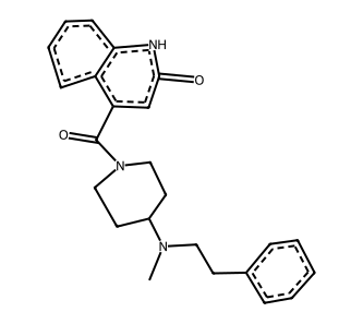 CN(CCc1ccccc1)C1CCN(C(=O)c2cc(=O)[nH]c3ccccc23)CC1